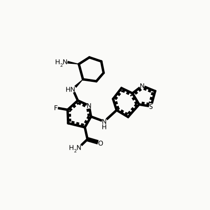 NC(=O)c1cc(F)c(N[C@@H]2CCCC[C@@H]2N)nc1Nc1ccc2ncsc2c1